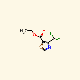 CCOC(=O)c1scnc1C(F)F